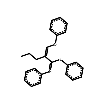 CCCC(=COc1ccccc1)C(=Nc1ccccc1)Sc1ccccc1